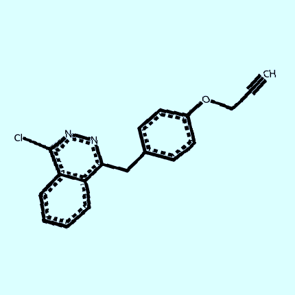 C#CCOc1ccc(Cc2nnc(Cl)c3ccccc23)cc1